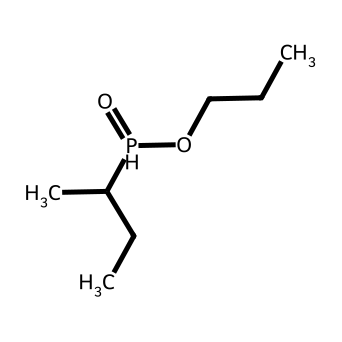 CCCO[PH](=O)C(C)CC